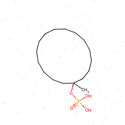 CC1(OP(=O)(O)O)CCCCCCCCCCCCCCC1